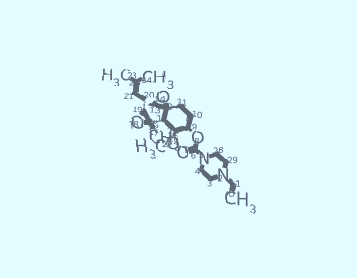 CCN1CCN(C(=O)O[C@@H]2CC[C@]3(CO3)[C@@H](C3(C)O[C@@H]3CC=C(C)C)[C@@H]2OC)CC1